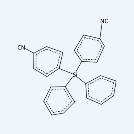 [C-]#[N+]c1ccc([Si](c2ccccc2)(c2ccccc2)c2ccc([N+]#[C-])cc2)cc1